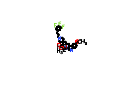 COc1ccc2ncc(N(C)C)c(CCCC3(CC(=O)O)CCN(CCCc4cc(F)c(F)c(F)c4)CC3)c2c1